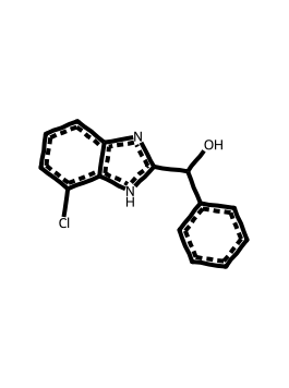 OC(c1ccccc1)c1nc2cccc(Cl)c2[nH]1